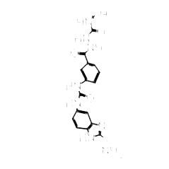 NSc1nc2cc(NC(=O)Nc3cccc(C(=O)NNC(=O)NO)c3)ccc2[nH]1